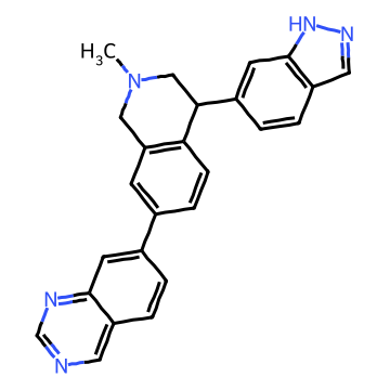 CN1Cc2cc(-c3ccc4cncnc4c3)ccc2C(c2ccc3cn[nH]c3c2)C1